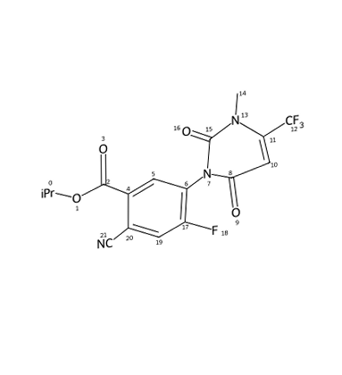 CC(C)OC(=O)c1cc(-n2c(=O)cc(C(F)(F)F)n(C)c2=O)c(F)cc1C#N